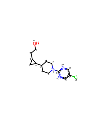 OCCC1CC1C1CCN(c2ncc(Cl)cn2)CC1